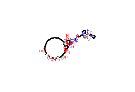 CC1OC(O[C@H]2/C=C/C=C/C=C/C=C/C=C/C=C/C=C/[C@H](C)[C@@H](O)[C@@H](C)[C@H](C)OC(=O)C[C@H](O)C[C@H](O)CC[C@@H](O)[C@H](O)C[C@H](O)C[C@]3(O)C[C@H](O)[C@@H](C(=O)NCCOCCNC(=O)CCC(=O)N4CCC[C@H]4C(=O)NCC(=O)N4CCC[C@H]4C(=O)O)[C@H](C2)O3)C(O)C(N)C1O